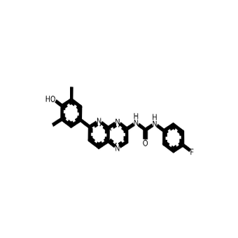 Cc1cc(-c2ccc3ncc(NC(=O)Nc4ccc(F)cc4)nc3n2)cc(C)c1O